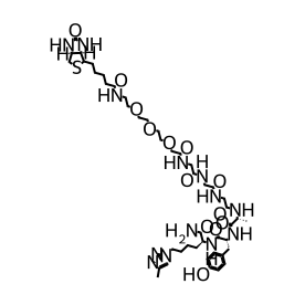 Cc1cn(CCCC[C@H](NC(=O)[C@@H](Cc2ccc(O)cc2)NC(=O)[C@@H](C)NC(=O)CNC(=O)CNC(=O)CNC(=O)COCCOCCOCCNC(=O)CCCCC2SC[C@H]3NC(=O)N[C@@H]23)C(N)=O)nn1